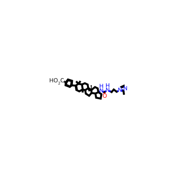 Cc1nccn1CCCNC(=O)NC12CCCC1C1CCC3C4(C)CC=C(c5ccc(C(=O)O)cc5)C(C)(C)C4CCC3(C)[C@]1(C)CC2